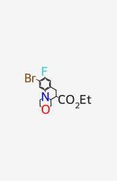 CCOC(=O)C1Cc2cc(F)c(Br)cc2N2CCOCC12